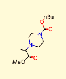 CCCCOC(=O)N1CCN(C(C)C(=O)OC)CC1